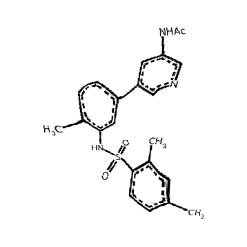 CC(=O)Nc1cncc(-c2ccc(C)c(NS(=O)(=O)c3ccc(C)cc3C)c2)c1